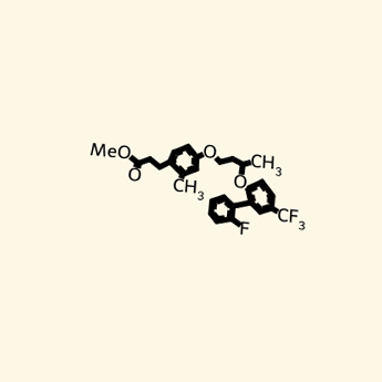 COC(=O)CCc1ccc(OCCC(C)Oc2ccc(C(F)(F)F)cc2-c2ccccc2F)cc1C